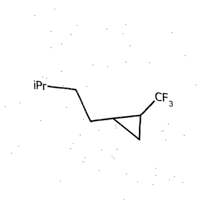 CC(C)CCC1CC1C(F)(F)F